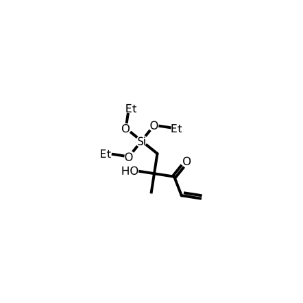 C=CC(=O)C(C)(O)C[Si](OCC)(OCC)OCC